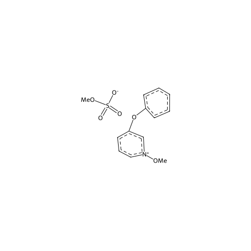 COS(=O)(=O)[O-].CO[n+]1cccc(Oc2ccccc2)c1